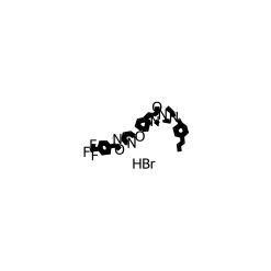 Br.CCCc1ccc(CN2CCN(C(=O)c3cc4ccc(Oc5ccc(N(C)C(=O)c6ccc(C(F)(F)F)cc6)cn5)cc4n3C)CC2)cc1